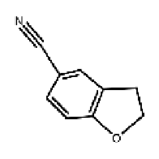 N#Cc1ccc2c(c1)CCO2